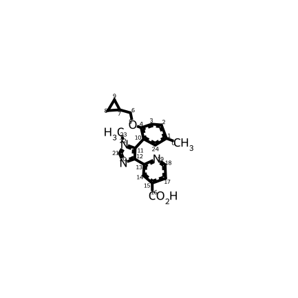 Cc1ccc(OCC2CC2)c(-c2c(-c3cc(C(=O)O)ccn3)ncn2C)c1